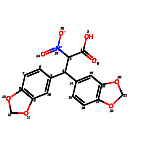 O=C(O)C(C(c1ccc2c(c1)OCO2)c1ccc2c(c1)OCO2)[N+](=O)[O-]